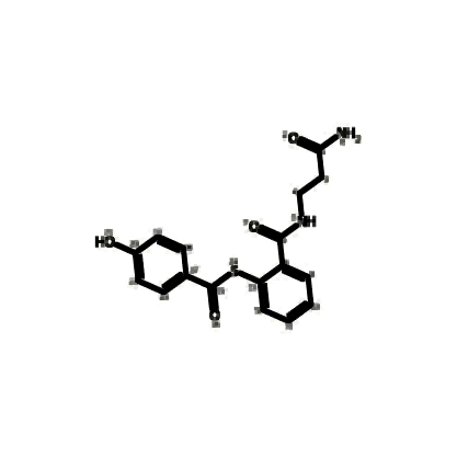 NC(=O)CCNC(=O)c1ccccc1SC(=O)c1ccc(O)cc1